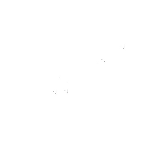 C[Si]1(C)c2ccccc2N(c2ccc(-c3nnc(-c4ccccc4)s3)cc2)c2ccccc21